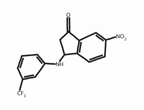 O=C1CC(Nc2cccc(C(F)(F)F)c2)c2ccc([N+](=O)[O-])cc21